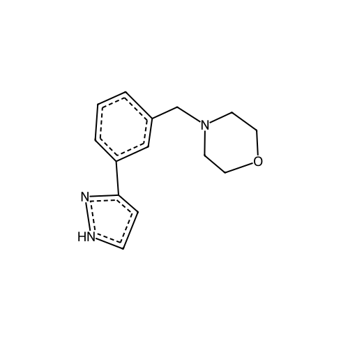 c1cc(CN2CCOCC2)cc(-c2cc[nH]n2)c1